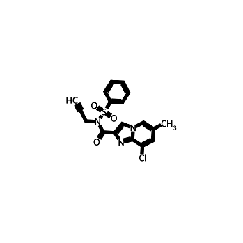 C#CCN(C(=O)c1cn2cc(C)cc(Cl)c2n1)S(=O)(=O)c1ccccc1